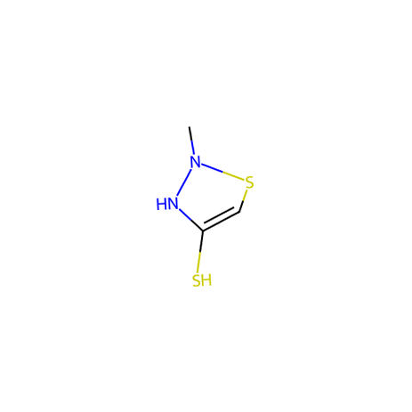 CN1NC(S)=CS1